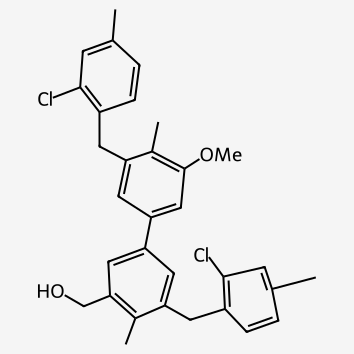 COc1cc(-c2cc(CO)c(C)c(Cc3ccc(C)cc3Cl)c2)cc(Cc2ccc(C)cc2Cl)c1C